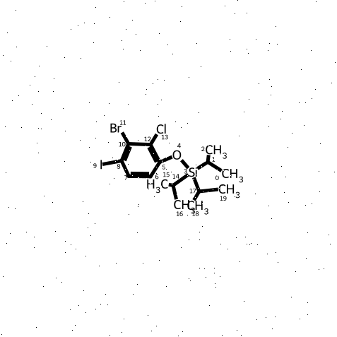 CC(C)[Si](Oc1ccc(I)c(Br)c1Cl)(C(C)C)C(C)C